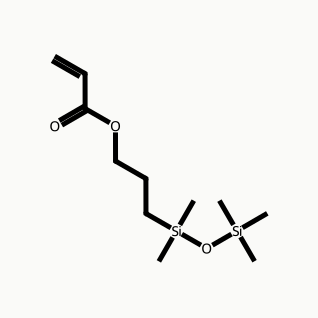 C=CC(=O)OCCC[Si](C)(C)O[Si](C)(C)C